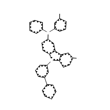 Fc1cccc(N(c2ccccc2)c2ccc3c(c2)c2cc(Br)ccc2n3-c2cccc(-c3ccccc3)c2)c1